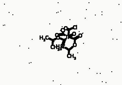 CC(C)O[C](=O)[Ti](=[O])([C](=O)Cl)([C](=O)Cl)[C](=O)OC(C)C